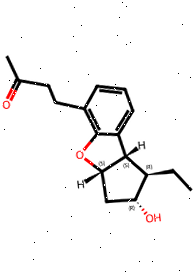 CC[C@@H]1[C@H]2c3cccc(CCC(C)=O)c3O[C@H]2C[C@H]1O